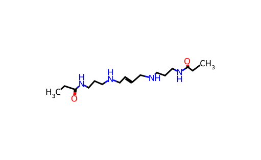 CCC(=O)NCCCNCC=CCNCCCNC(=O)CC